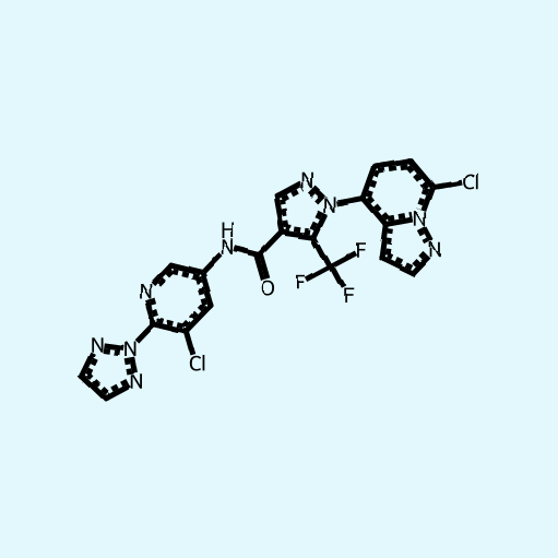 O=C(Nc1cnc(-n2nccn2)c(Cl)c1)c1cnn(-c2ccc(Cl)n3nccc23)c1C(F)(F)F